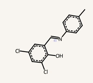 Cc1ccc(/N=C/c2cc(Cl)cc(Cl)c2O)cc1